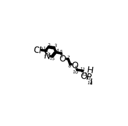 Clc1ccc(COCCOCCOPI)cn1